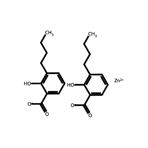 CCCCc1cccc(C(=O)[O-])c1O.CCCCc1cccc(C(=O)[O-])c1O.[Zn+2]